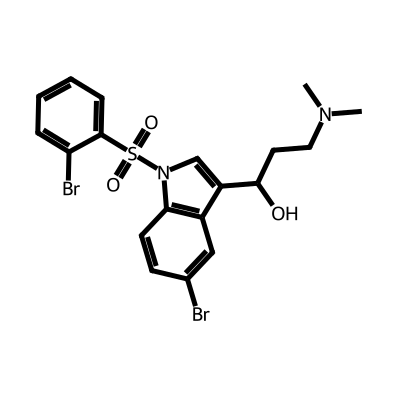 CN(C)CCC(O)c1cn(S(=O)(=O)c2ccccc2Br)c2ccc(Br)cc12